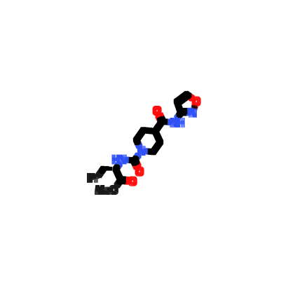 COC(=O)[C@H](CC(C)C)NC(=O)N1CCC(C(=O)Nc2ccon2)CC1